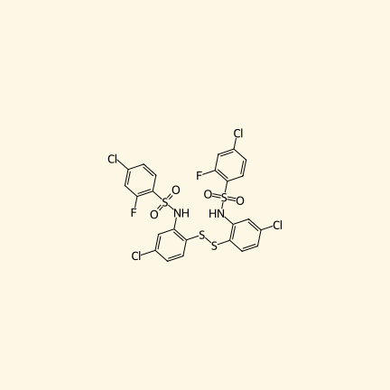 O=S(=O)(Nc1cc(Cl)ccc1SSc1ccc(Cl)cc1NS(=O)(=O)c1ccc(Cl)cc1F)c1ccc(Cl)cc1F